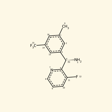 Cc1cc([C@H](N)c2ncccc2F)cc(C(F)(F)F)c1